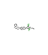 C/C=C/CCc1c(F)cc(-c2ccc(CCC3CCC(C[C@H](C)c4ccccc4)CC3)cc2)cc1F